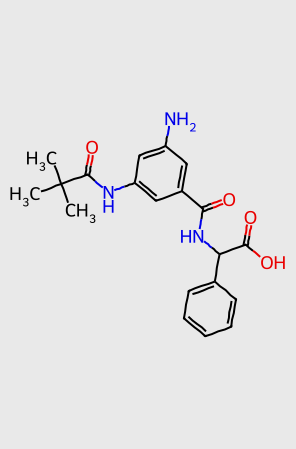 CC(C)(C)C(=O)Nc1cc(N)cc(C(=O)NC(C(=O)O)c2ccccc2)c1